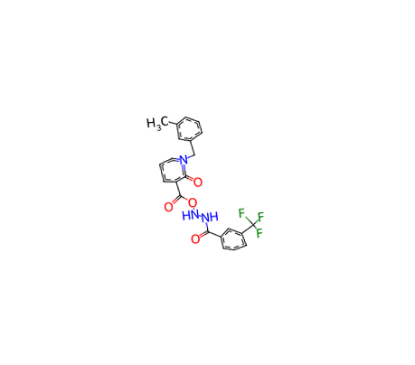 Cc1cccc(Cn2cccc(C(=O)ONNC(=O)c3cccc(C(F)(F)F)c3)c2=O)c1